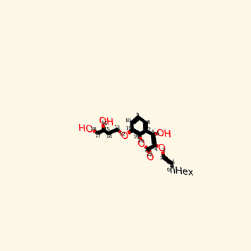 CCCCCCC=COc1c(O)c2cccc(OCCC(O)CO)c2oc1=O